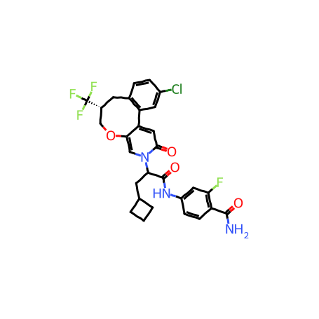 NC(=O)c1ccc(NC(=O)C(CC2CCC2)n2cc3c(cc2=O)-c2cc(Cl)ccc2C[C@@H](C(F)(F)F)CO3)cc1F